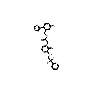 O=C(Cn1ccnc(NCC(F)(F)c2ccccn2)c1=O)NCc1cc(Cl)ccc1-n1cncn1